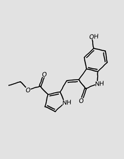 CCOC(=O)c1cc[nH]c1/C=C1\C(=O)Nc2ccc(O)cc21